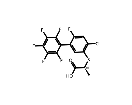 C[C@H](Sc1cc(-c2c(F)c(F)c(F)c(F)c2F)c(F)cc1Cl)C(=O)O